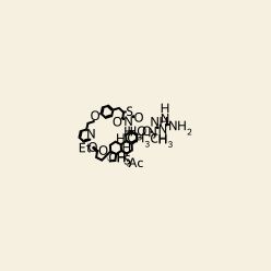 CC(=O)S[C@@H]1CC2=CC(=O)CC[C@]2(C)[C@H]2CC[C@@]3(C)[C@@H](CC[C@@]34CCC(=O)O4)[C@H]12.CCc1ccc(CCOc2ccc(CC3SC(=O)NC3=O)cc2)nc1.CN(C)C(=N)NC(=N)N